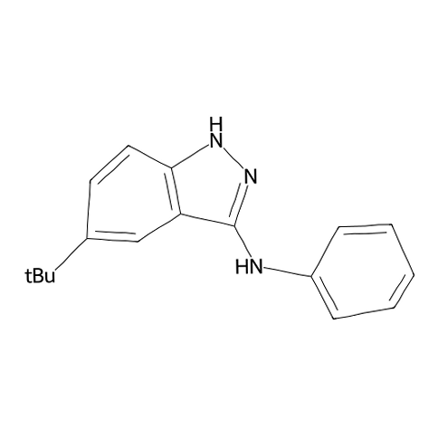 CC(C)(C)c1ccc2[nH]nc(Nc3ccccc3)c2c1